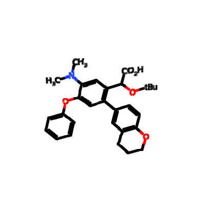 CN(C)c1cc(C(OC(C)(C)C)C(=O)O)c(-c2ccc3c(c2)CCCO3)cc1Oc1ccccc1